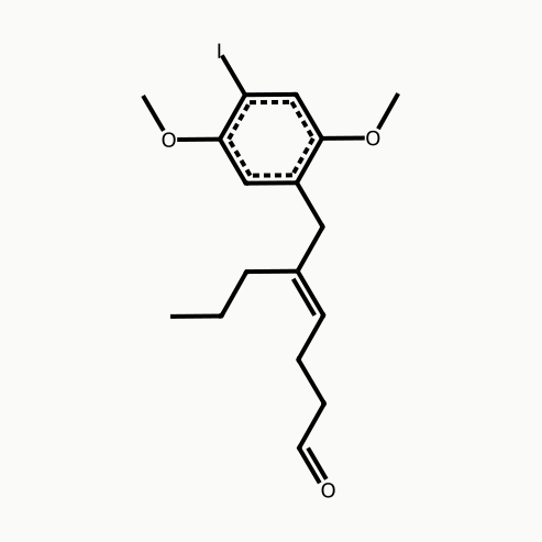 CCC/C(=C\CCC=O)Cc1cc(OC)c(I)cc1OC